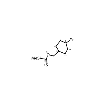 C[SH2]C(=S)OCC1CCC(F)CC1